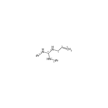 C=CCNC(NC(C)C)NC(C)C